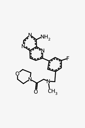 CN(CC(=O)N1CCOCC1)Cc1cc(F)cc(-c2ccc3ncnc(N)c3n2)c1